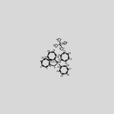 [O-][I+3]([O-])([O-])[O-].c1ccc(C[P+](c2ccccc2)(c2ccccc2)c2ccccc2)cc1